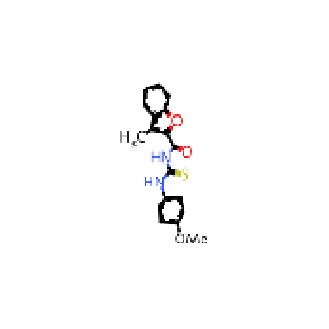 COc1ccc(NC(=S)NC(=O)c2oc3ccccc3c2C)cc1